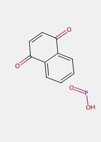 O=C1C=CC(=O)c2ccccc21.O=PO